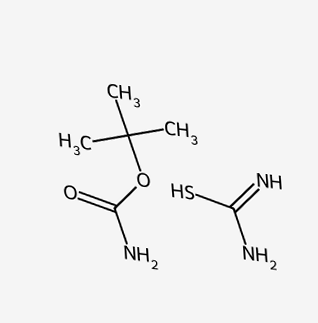 CC(C)(C)OC(N)=O.N=C(N)S